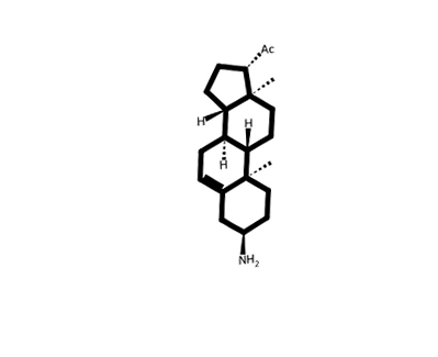 CC(=O)[C@H]1CC[C@H]2[C@@H]3CC=C4C[C@H](N)CC[C@]4(C)[C@H]3CC[C@]12C